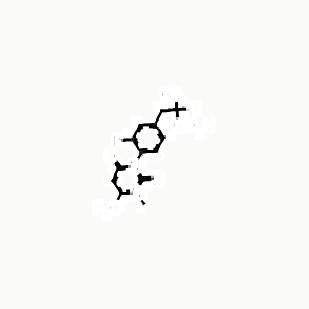 Cn1c(C(F)(F)F)cc(=O)n(-c2ccc(CC(Cl)(C(=O)O)C(F)(F)F)cc2F)c1=O